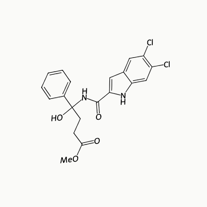 COC(=O)CCC(O)(NC(=O)c1cc2cc(Cl)c(Cl)cc2[nH]1)c1ccccc1